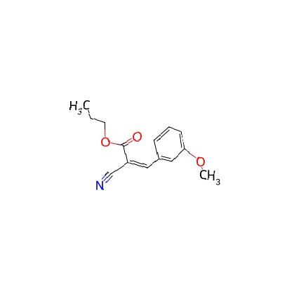 CCCOC(=O)C(C#N)=Cc1cccc(OC)c1